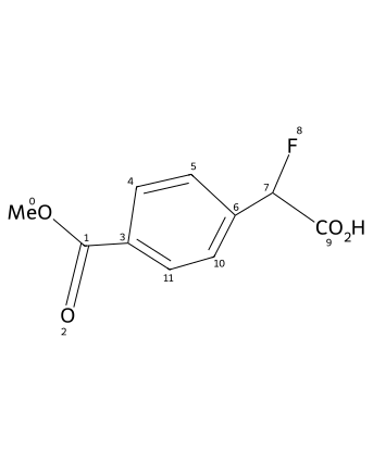 COC(=O)c1ccc(C(F)C(=O)O)cc1